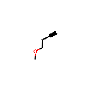 C#C[CH]COC